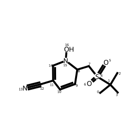 CC(C)(C)S(=O)(=O)CC1C=CC(C#N)=CN1O